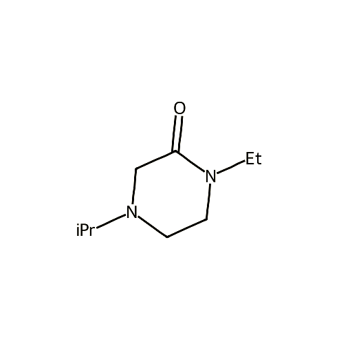 CCN1CCN(C(C)C)CC1=O